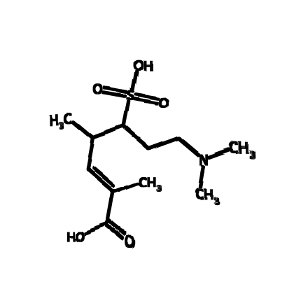 CC(=CC(C)C(CCN(C)C)S(=O)(=O)O)C(=O)O